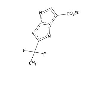 CCOC(=O)c1cnc2sc(C(C)(F)F)nn12